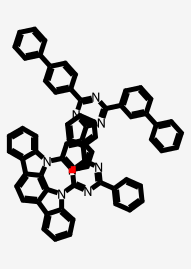 c1ccc(-c2ccc(-c3nc(-c4cccc(-c5ccccc5)c4)nc(-c4cccc(-n5c6ccccc6c6ccc7c8ccccc8n(-c8nc(-c9ccccc9)nc(-c9ccccc9)n8)c7c65)c4)n3)cc2)cc1